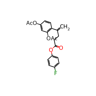 C=C(CCC(=O)Oc1ccc(F)cc1)c1ccc(OC(C)=O)cc1OC(C)=O